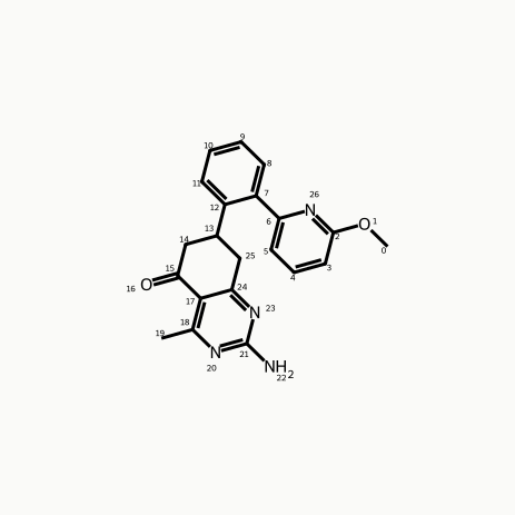 COc1cccc(-c2ccccc2C2CC(=O)c3c(C)nc(N)nc3C2)n1